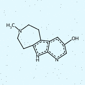 CN1CCc2[nH]c3ncc(O)cc3c2CC1